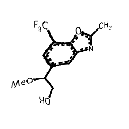 CO[C@H](CO)c1cc(C(F)(F)F)c2oc(C)nc2c1